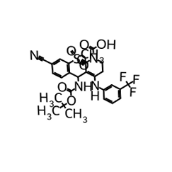 CC(C)(C)OC(=O)NC(C1=C(Nc2cccc(C(F)(F)F)c2)CCN(C(=O)O)C1=O)c1ccc(C#N)cc1S(C)(=O)=O